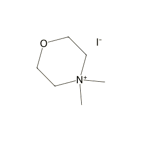 C[N+]1(C)CCOCC1.[I-]